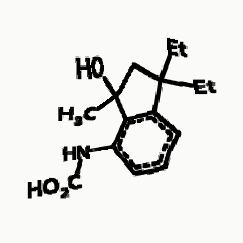 CCC1(CC)CC(C)(O)c2c(NC(=O)O)cccc21